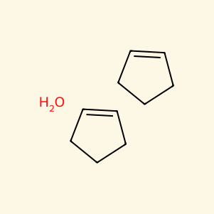 C1=CCCC1.C1=CCCC1.O